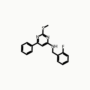 CSc1nc(NCc2ccccc2F)cc(-c2ccccc2)n1